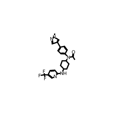 CC(=O)N(c1ccc(-c2cnn(C)c2)cc1)C1CCC(Nc2ccc(C(F)(F)F)cn2)CC1